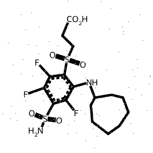 NS(=O)(=O)c1c(F)c(F)c(S(=O)(=O)CCC(=O)O)c(NC2CCCCCCC2)c1F